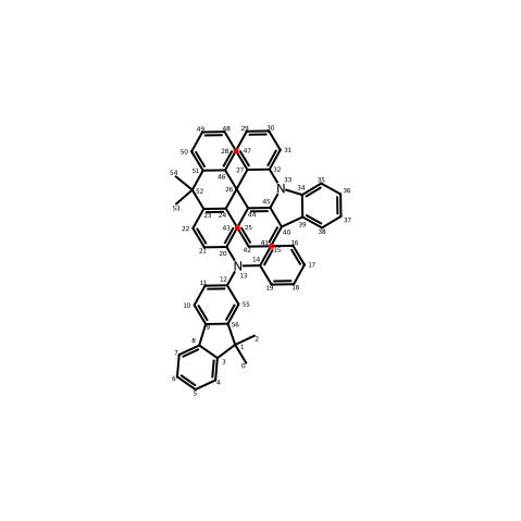 CC1(C)c2ccccc2-c2ccc(N(c3ccccc3)c3ccc4c(c3)C3(c5ccccc5-n5c6ccccc6c6cccc3c65)c3ccccc3C4(C)C)cc21